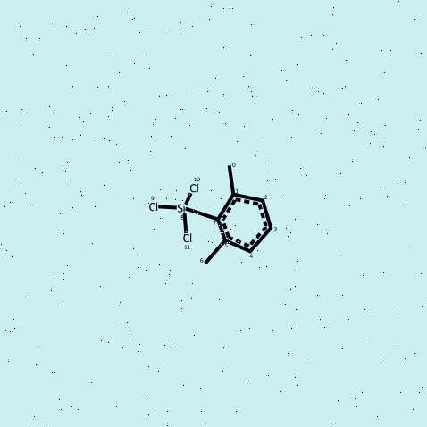 Cc1cccc(C)c1[Si](Cl)(Cl)Cl